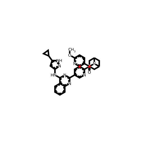 COc1ccc(C(=O)N2C3CC2CN(c2ccc(-c4nc(Nc5cc(C6CC6)[nH]n5)c5ccccc5n4)cn2)C3)cn1